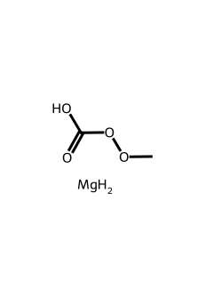 COOC(=O)O.[MgH2]